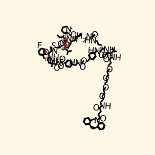 CCCCCCN(C(=O)[C@@H](NC(=O)[C@H]1CCCCN1C)[C@@H](C)CC)[C@H](C[C@@H](OC(C)=O)c1nc(C(=O)N[C@@H](Cc2ccc(F)cc2)CC(C)(C)C(=O)NS(=O)(=O)c2ccc(CNC(=O)OCc3ccc(NC(=O)[C@H](CCCNC(N)=O)NC(=O)[C@@H](NC(=O)CCOCCOCCOCCOCCNC(=O)CCC(=O)N4Cc5ccccc5C#Cc5ccccc54)C(C)C)cc3)cc2)cs1)C(C)C